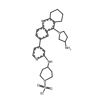 CCS(=O)(=O)N1CCC(Nc2cc(-c3ccc4nc5c(c(N6CCC(N)C6)c4c3)CCCC5)ccn2)CC1